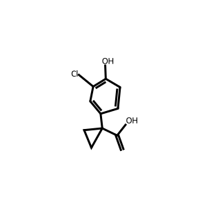 C=C(O)C1(c2ccc(O)c(Cl)c2)CC1